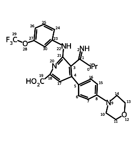 CC(C)C(=N)c1c(-c2ccc(N3CCOCC3)cc2)cc(C(=O)O)nc1Nc1cccc(OC(F)(F)F)c1